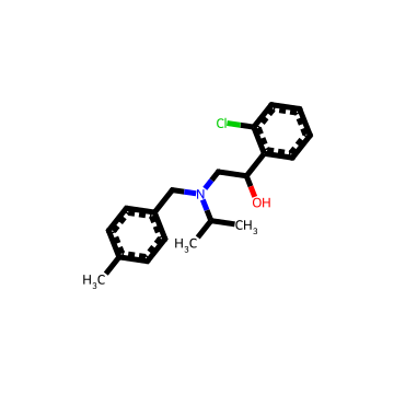 Cc1ccc(CN(CC(O)c2ccccc2Cl)C(C)C)cc1